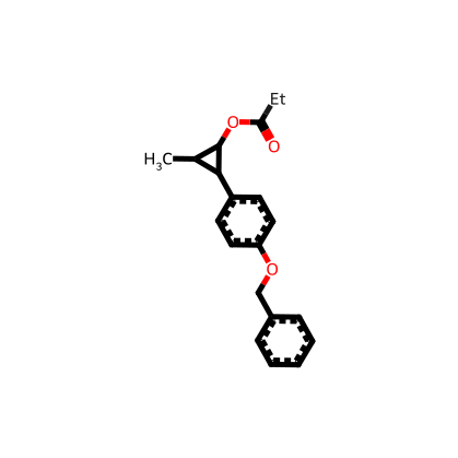 CCC(=O)OC1C(C)C1c1ccc(OCc2ccccc2)cc1